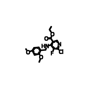 CCOC(=O)c1cnc(Cl)c(F)c1NCc1ccc(OC)cc1OC